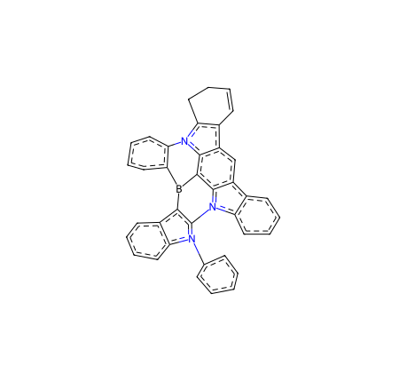 C1=Cc2c(n3c4c5c6c(cc24)c2ccccc2n6-c2c(c4ccccc4n2-c2ccccc2)B5c2ccccc2-3)CC1